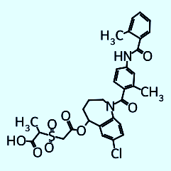 Cc1ccccc1C(=O)Nc1ccc(C(=O)N2CCCC(OC(=O)CS(=O)(=O)C(C)C(=O)O)c3cc(Cl)ccc32)c(C)c1